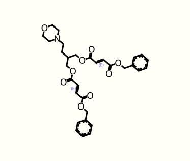 O=C(/C=C/C(=O)OCC(CCN1CCOCC1)COC(=O)/C=C/C(=O)OCc1ccccc1)OCc1ccccc1